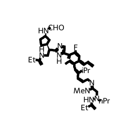 C=C/C=C(\C=C(\F)C(=C)c1cnc(C(CNC(=C)CC)[C@H]2CC[C@@H](NC=O)C2)[nH]1)C(=CC)/C=C(/C=C\C/N=C(/CN(CCC)NC(=C)CC)NC)C(C)C